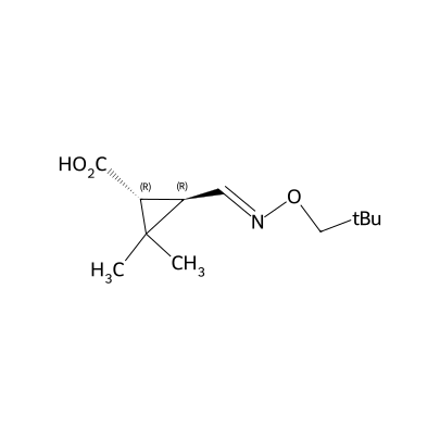 CC(C)(C)CON=C[C@@H]1[C@@H](C(=O)O)C1(C)C